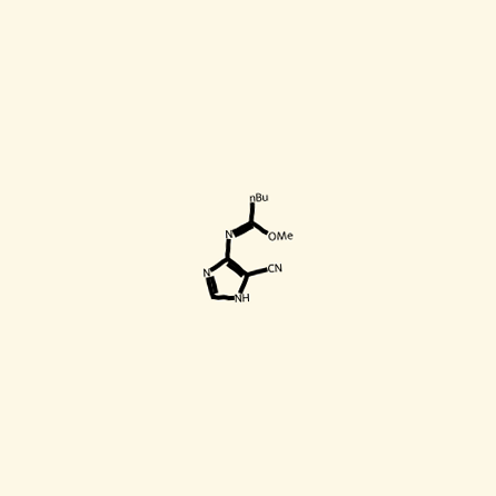 CCCCC(=Nc1nc[nH]c1C#N)OC